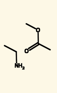 CCN.COC(C)=O